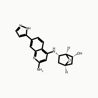 Nc1cc(N[C@H]2C[C@@H]3C[C@@H](O)[C@H]2O3)c2ccc(-c3ccn[nH]3)cc2n1